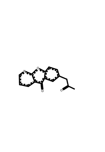 CC(=O)Cc1ccc2oc3ncccc3c(=O)c2c1